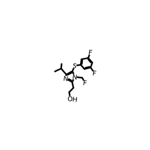 CC(C)c1nc(CCO)n(CF)c1Sc1cc(F)cc(F)c1